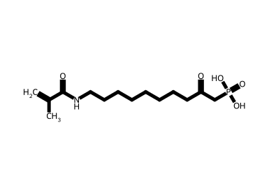 C=C(C)C(=O)NCCCCCCCCC(=O)CP(=O)(O)O